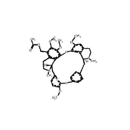 COc1ccc2cc1Oc1ccc(cc1)C[C@H]1c3cc(c(OC)cc3CCN1C)Oc1c(OC)c(OC)c(COC(C)=O)c3c1[C@H](C2)N(C)CC3